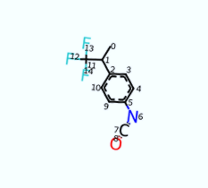 CC(c1ccc(N=C=O)cc1)C(F)(F)F